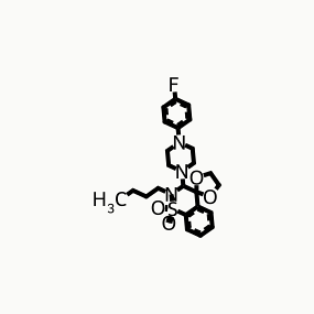 CCCCN1C(N2CCN(c3ccc(F)cc3)CC2)C2(OCCO2)c2ccccc2S1(=O)=O